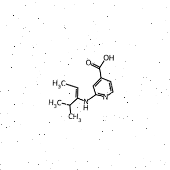 CC=C(Nc1cc(C(=O)O)ccn1)C(C)C